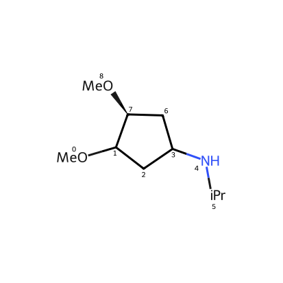 COC1CC(NC(C)C)C[C@@H]1OC